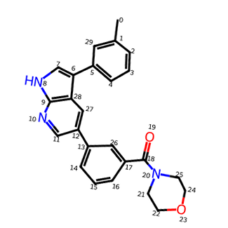 Cc1cccc(-c2c[nH]c3ncc(-c4cccc(C(=O)N5CCOCC5)c4)cc23)c1